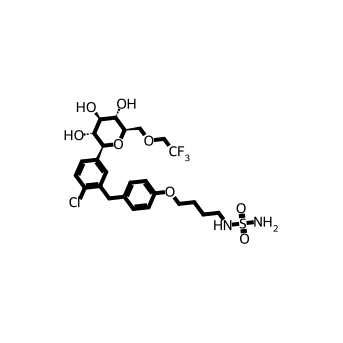 NS(=O)(=O)NCCCCOc1ccc(Cc2cc([C@@H]3O[C@H](COCC(F)(F)F)[C@@H](O)[C@H](O)[C@H]3O)ccc2Cl)cc1